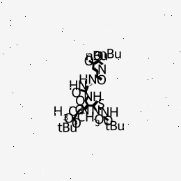 CCCCOc1cnc(C(=O)NC[C@H]2NC(=O)[C@H]2NC(=O)/C(=N\OC(C)(C)C(=O)OC(C)(C)C)c2csc(NC(=O)OC(C)(C)C)n2)cc1OCCCC